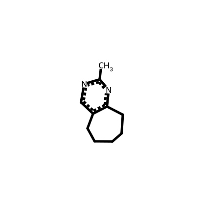 Cc1ncc2c(n1)CCCCC2